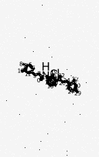 C=C(CCc1ccc(C)c(C)c1)NC12CCC(CC1Cl)N(C(=C)CCc1ccc(C)cc1C)C2